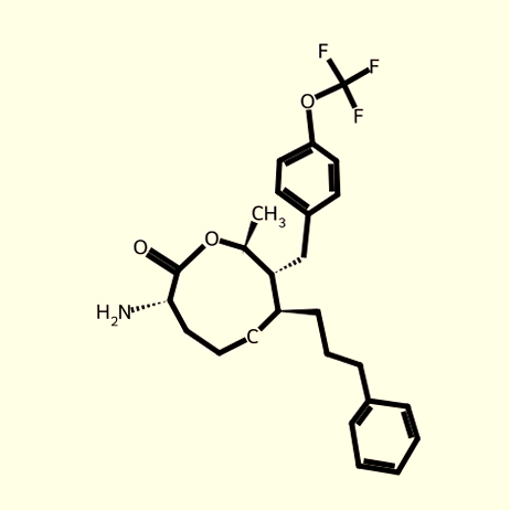 C[C@@H]1OC(=O)[C@@H](N)CCC[C@H](CCCc2ccccc2)[C@H]1Cc1ccc(OC(F)(F)F)cc1